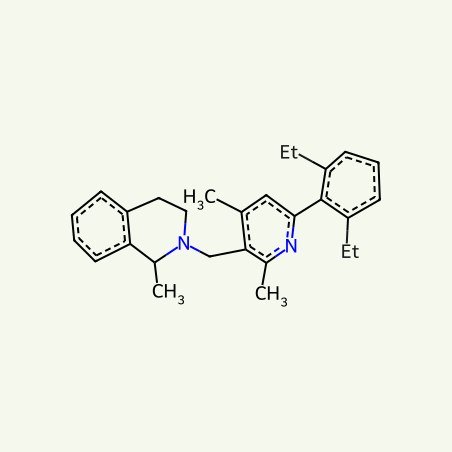 CCc1cccc(CC)c1-c1cc(C)c(CN2CCc3ccccc3C2C)c(C)n1